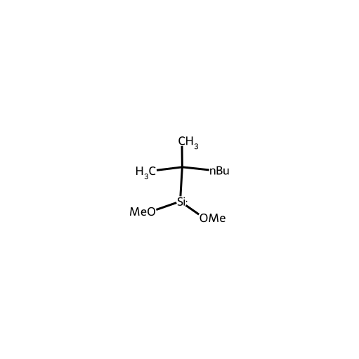 CCCCC(C)(C)[Si](OC)OC